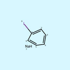 Ic1ccccc1.[NaH]